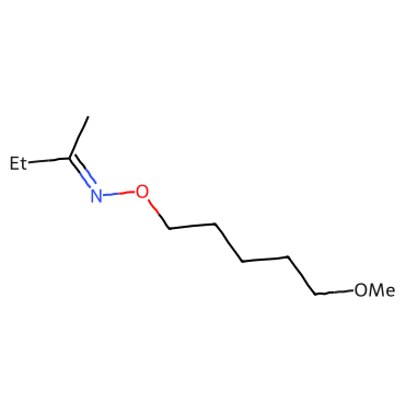 CC/C(C)=N/OCCCCCOC